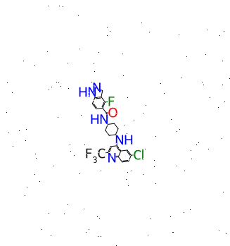 O=C(NC1CCC(Nc2cc(C(F)(F)F)nc3ccc(Cl)cc23)CC1)c1ccc2[nH]ncc2c1F